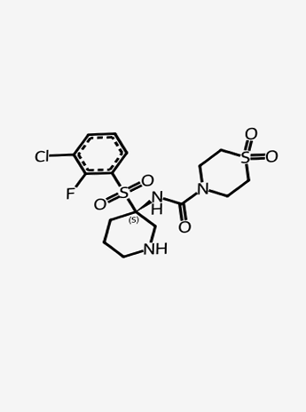 O=C(N[C@]1(S(=O)(=O)c2cccc(Cl)c2F)CCCNC1)N1CCS(=O)(=O)CC1